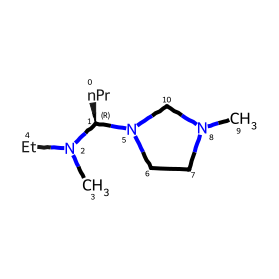 CCC[C@H](N(C)CC)N1CCN(C)C1